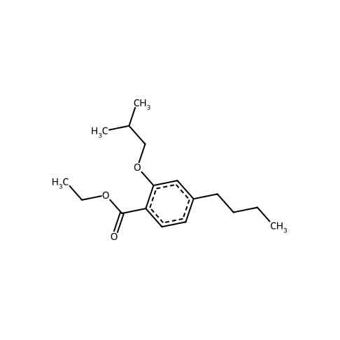 CCCCc1ccc(C(=O)OCC)c(OCC(C)C)c1